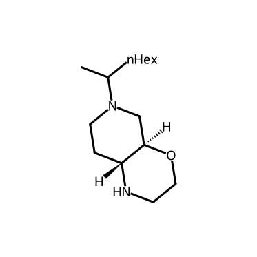 CCCCCCC(C)N1CC[C@H]2NCCO[C@@H]2C1